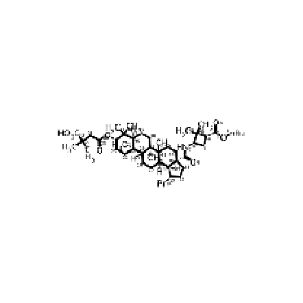 CCCCOC(=O)[C@H]1C[C@@H](NC(=O)[C@]23CC[C@@H](C(C)C)[C@@H]2[C@H]2CC[C@@H]4[C@@]5(C)CC[C@H](OC(=O)CC(C)(C)C(=O)O)C(C)(C)[C@@H]5CC[C@@]4(C)[C@]2(C)CC3)C1(C)C